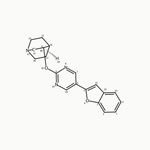 c1ccc2oc(-c3cnc(O[C@H]4CN5CCC4CC5)nc3)cc2c1